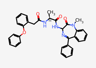 C[C@H](NC(=O)Cc1ccccc1Oc1ccccc1)C(=O)NC1N=C(c2ccccc2)c2ccccc2N(C)C1=O